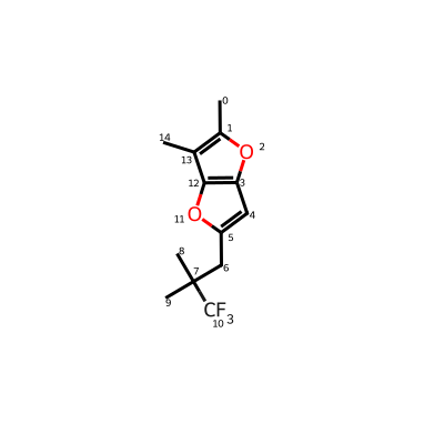 Cc1oc2cc(CC(C)(C)C(F)(F)F)oc2c1C